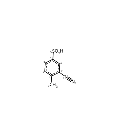 Cc1ccc(S(=O)(=O)O)cc1[N+]#N